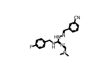 CN(C)C=[N+]=C(NCc1ccc(F)cc1)NN=Cc1cccc(C#N)c1